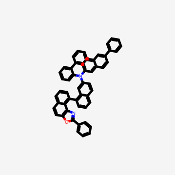 c1ccc(-c2ccc3cc(N(c4ccc5cccc(-c6cccc7ccc8oc(-c9ccccc9)nc8c67)c5c4)c4ccccc4-c4ccccc4)ccc3c2)cc1